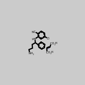 N#Cc1ccc(Cl)cc1NC(CCCN)c1ccccc1.O=C(O)/C=C/C(=O)O